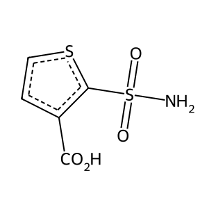 NS(=O)(=O)c1sccc1C(=O)O